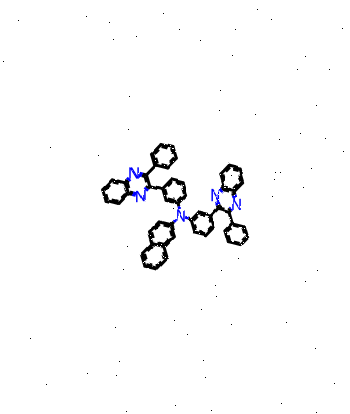 c1ccc(-c2nc3ccccc3nc2-c2cccc(N(c3cccc(-c4nc5ccccc5nc4-c4ccccc4)c3)c3ccc4ccccc4c3)c2)cc1